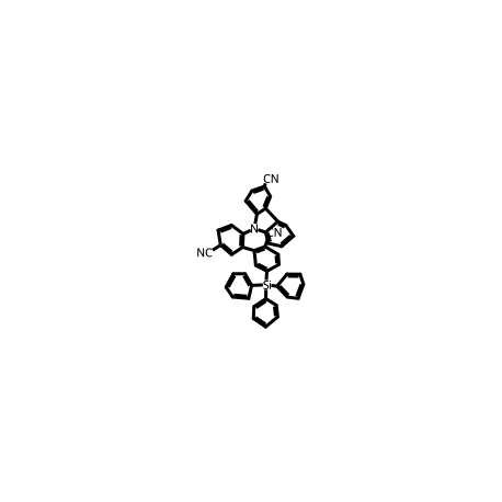 N#Cc1ccc(-n2c3ccccc3c3cc(C#N)ccc32)c(-c2cc([Si](c3ccccc3)(c3ccccc3)c3ccccc3)ccc2C#N)c1